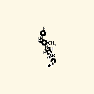 CCCn1ccc(S(=O)(=O)N2C[C@H]3CN(c4cc5cnn(-c6ccc(F)cc6)c5cc4C)C[C@H]3C2)c1